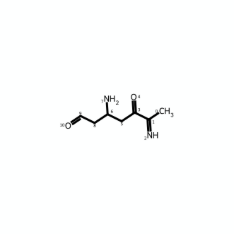 CC(=N)C(=O)CC(N)CC=O